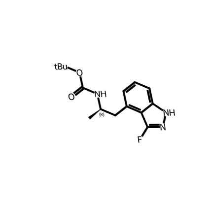 C[C@H](Cc1cccc2[nH]nc(F)c12)NC(=O)OC(C)(C)C